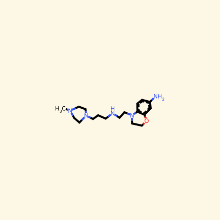 CN1CCN(CCCNCCN2CCOc3cc(N)ccc32)CC1